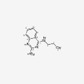 CC(C)(C)c1nc(NCCO)c2ccccc2n1